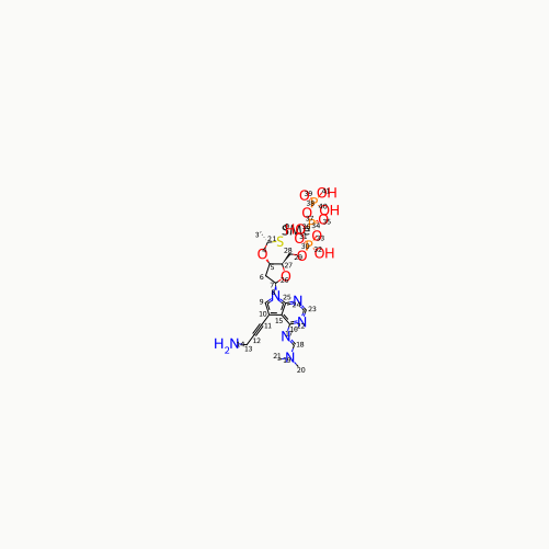 CSS[C@@H](C)O[C@@H]1C[C@H](n2cc(C#CCN)c3c(/N=C/N(C)C)ncnc32)O[C@@H]1COP(=O)(O)OP(=O)(O)OP(=O)(O)O